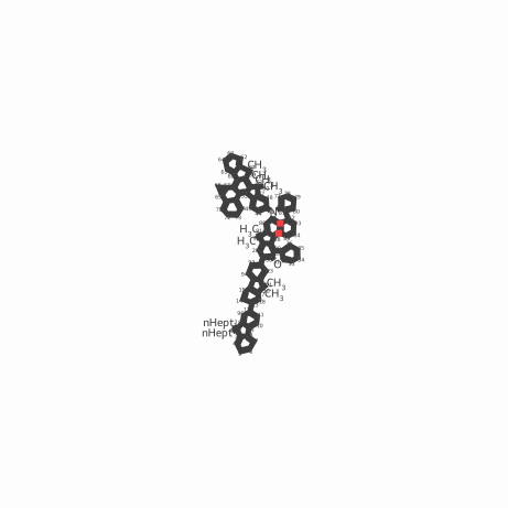 CCCCCCCC1(CCCCCCC)c2ccccc2-c2ccc(-c3ccc4c(c3)C(C)(C)c3cc(-c5cc6c(c7c5oc5ccccc57)-c5ccc(N(c7ccc8c(c7)C(C)(C)c7c-8c8c(c9c7C(C)(C)c7ccccc7-9)C7CC7c7ccccc7-8)c7ccccc7-c7ccccc7)cc5C6(C)C)ccc3-4)cc21